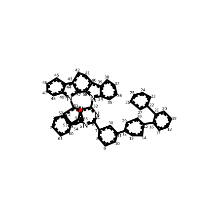 c1ccc(-c2nc(-c3cccc(-c4ccc(-c5ccccc5-c5ccccc5)cc4)c3)nc(-n3c4ccccc4c4ccc5c6ccccc6n(-c6ccccc6)c5c43)n2)cc1